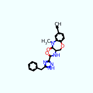 C#Cc1ccc2c(c1)N(C)C(=O)C(NC(=O)c1n[nH]c(Cc3ccccc3)n1)CO2